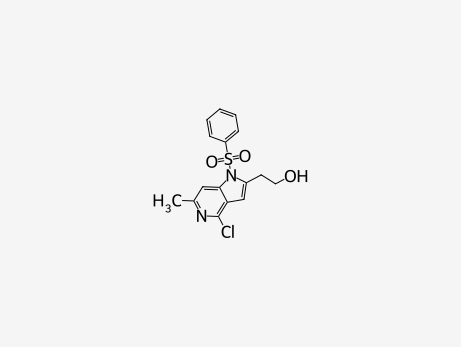 Cc1cc2c(cc(CCO)n2S(=O)(=O)c2ccccc2)c(Cl)n1